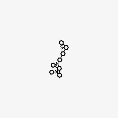 c1ccc(-n2c3ccccc3c3ccc4c(c5ccccc5n4-c4ccc(-c5ccc(-c6cccc7c6sc6ccccc67)cc5)cc4)c32)cc1